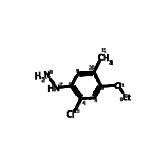 CCOc1cc(Cl)c(NN)cc1C